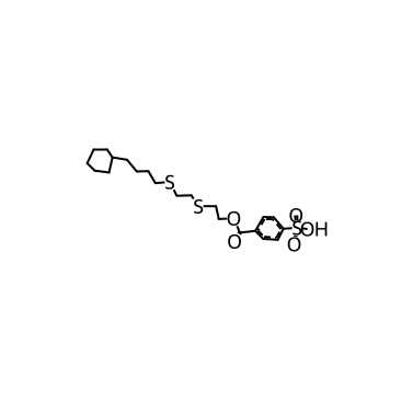 O=C(OCCSCCSCCCCC1CCCCC1)c1ccc(S(=O)(=O)O)cc1